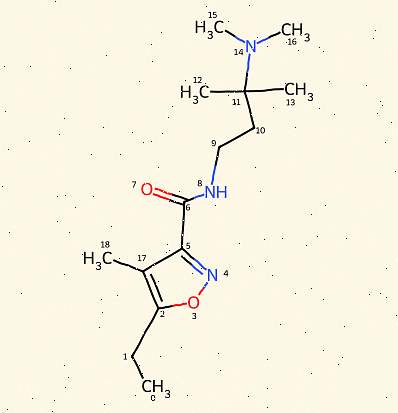 CCc1onc(C(=O)NCCC(C)(C)N(C)C)c1C